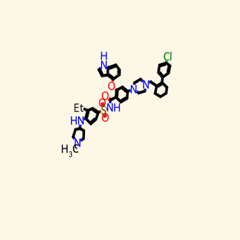 CCc1cc(S(=O)(=O)NC(=O)c2ccc(N3CCN(CC4=C(c5ccc(Cl)cc5)CCCC4)CC3)cc2Oc2cccc3[nH]ccc23)ccc1NC1CCN(C)CC1